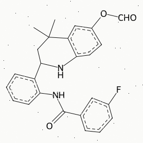 CC1(C)CC(c2ccccc2NC(=O)c2cccc(F)c2)Nc2ccc(OC=O)cc21